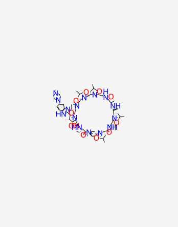 C=C1NC(C)C(=O)N[C@H](C)C(=O)N(C)[C@@H](CC(C)C)C(=O)N(C)[C@@H](CC(C)C)C(=O)N(C)[C@@H](C(C)C)C(=O)N(C)[C@@H]([C@H](O)[C@H](C)Cc2nc3cc(N4CCN(C)CC4)ccc3[nH]2)C(=O)N[C@@H](CC)C(=O)N(C)CC(=O)N(C)[C@@H](CC(C)C)C(=O)N[C@@H](C(C)C)C(=O)N(C)[C@H]1CC(C)C